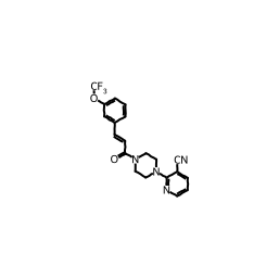 N#Cc1cccnc1N1CCN(C(=O)C=Cc2cccc(OC(F)(F)F)c2)CC1